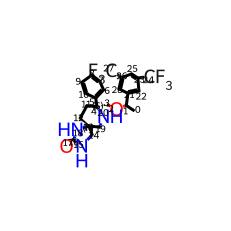 CC(OC[C@@]1(c2ccccc2)CC[C@]2(CNC(=O)N2)CN1)c1cc(C(F)(F)F)cc(C(F)(F)F)c1